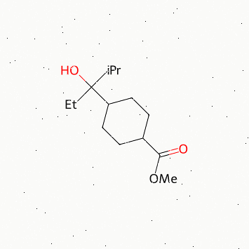 CCC(O)(C(C)C)C1CCC(C(=O)OC)CC1